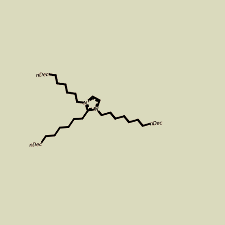 CCCCCCCCCCCCCCCCCn1cc[n+](CCCCCCCCCCCCCCCC)c1CCCCCCCCCCCCCCCC